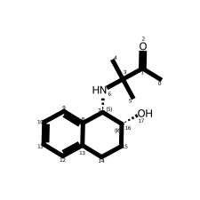 CC(=O)C(C)(C)N[C@H]1c2ccccc2CC[C@H]1O